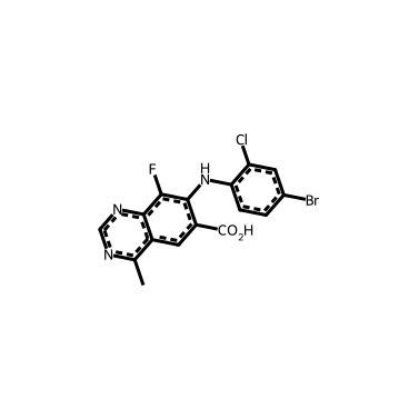 Cc1ncnc2c(F)c(Nc3ccc(Br)cc3Cl)c(C(=O)O)cc12